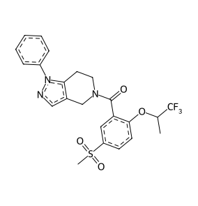 CC(Oc1ccc(S(C)(=O)=O)cc1C(=O)N1CCc2c(cnn2-c2ccccc2)C1)C(F)(F)F